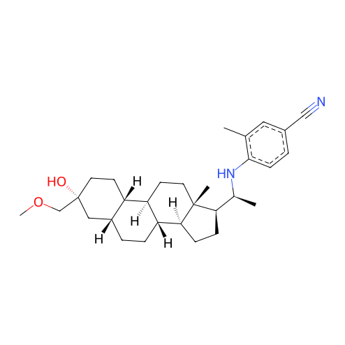 COC[C@@]1(O)CC[C@H]2[C@H](CC[C@@H]3[C@@H]2CC[C@]2(C)[C@@H]([C@H](C)Nc4ccc(C#N)cc4C)CC[C@@H]32)C1